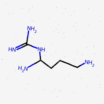 N=C(N)NC(N)CCCN